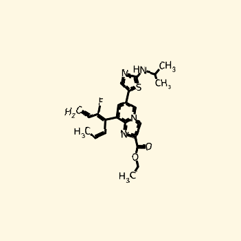 C=C/C(F)=C(\C=C/C)c1cc(-c2cnc(NC(C)C)s2)cn2cc(C(=O)OCC)nc12